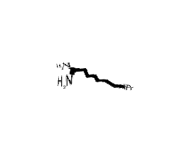 CC(C)CCCCCCC(N)N